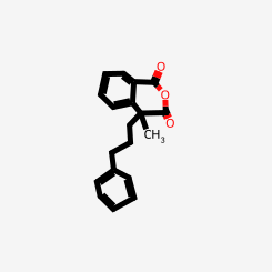 CC1(CCCc2ccccc2)C(=O)OC(=O)c2ccccc21